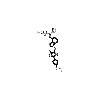 CCOC(Cc1cccc2c1ccn2Cc1nc(-c2ccc(C(F)(F)F)cc2)oc1C)C(=O)O